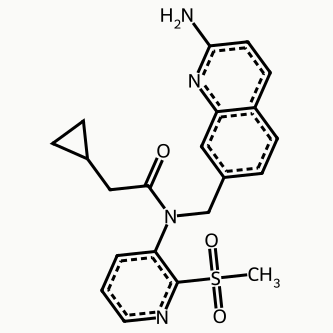 CS(=O)(=O)c1ncccc1N(Cc1ccc2ccc(N)nc2c1)C(=O)CC1CC1